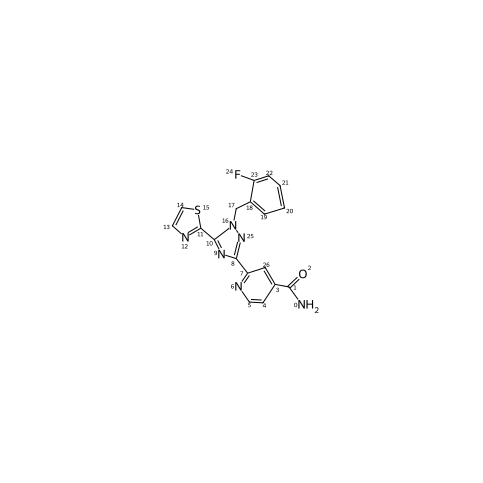 NC(=O)c1ccnc(-c2nc(-c3nccs3)n(Cc3ccccc3F)n2)c1